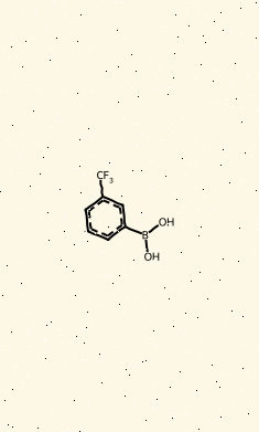 OB(O)c1c[c]cc(C(F)(F)F)c1